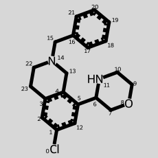 Clc1cc2c(c(C3COCCN3)c1)CN(Cc1ccccc1)CC2